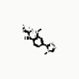 COc1cc(-c2nncn2C)ccc1N/C(N)=N/N